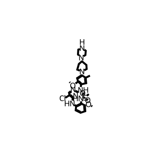 COc1cc(N2CCC(N3CCNCC3)CC2)c(C)cc1Nc1ncc(Cl)c(Nc2cccc(OC)c2NS(C)(=O)=O)n1